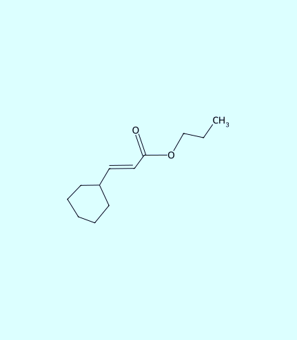 CCCOC(=O)C=CC1CCCCC1